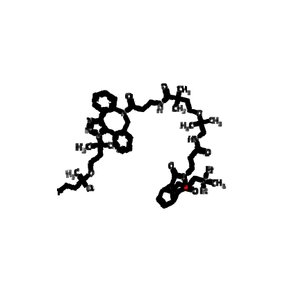 CCC(C)(CCI)OCCC(C)(C)n1nnc2c1-c1ccccc1CN(C(=O)CCNC(=O)C(C)(C)CCOC(C)(C)CNC(=O)CCN1C(=O)C3C4C=CC(C4CCCS(C)(CC)CC)C3C1=O)c1ccccc1-2